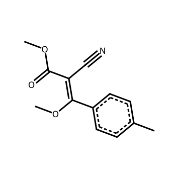 COC(=O)/C(C#N)=C(\OC)c1ccc(C)cc1